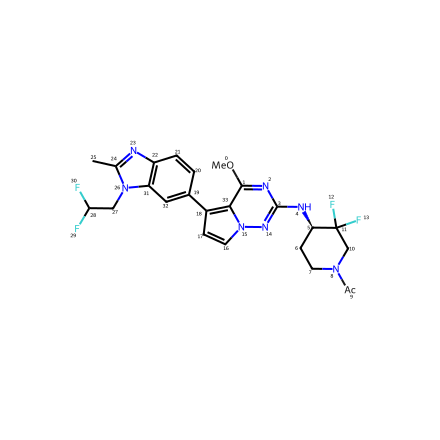 COc1nc(N[C@@H]2CCN(C(C)=O)CC2(F)F)nn2ccc(-c3ccc4nc(C)n(CC(F)F)c4c3)c12